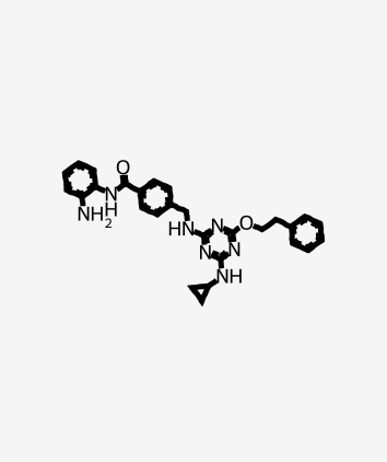 Nc1ccccc1NC(=O)c1ccc(CNc2nc(NC3CC3)nc(OCCc3ccccc3)n2)cc1